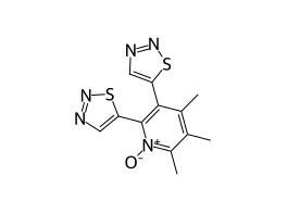 Cc1c(C)c(C)[n+]([O-])c(-c2cnns2)c1-c1cnns1